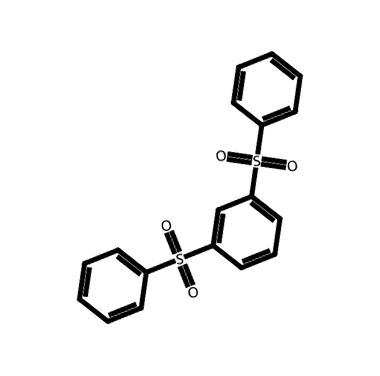 O=S(=O)(c1ccccc1)c1cccc(S(=O)(=O)c2ccccc2)c1